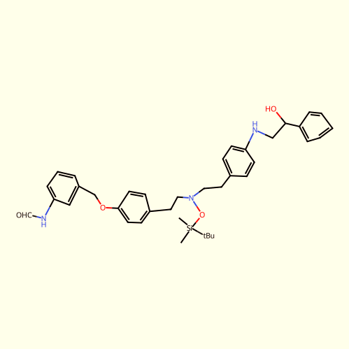 CC(C)(C)[Si](C)(C)ON(CCc1ccc(NCC(O)c2ccccc2)cc1)CCc1ccc(OCc2cccc(NC=O)c2)cc1